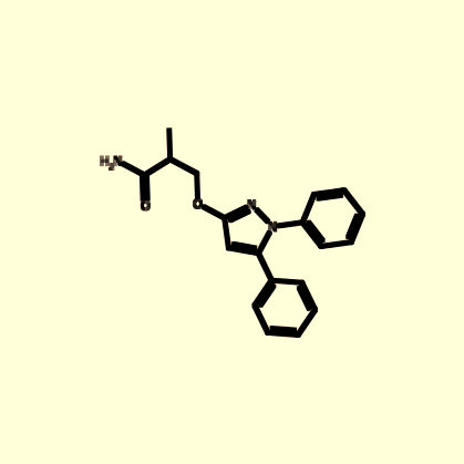 CC(COc1cc(-c2ccccc2)n(-c2ccccc2)n1)C(N)=O